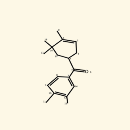 CC1=CCC(C(=O)c2ccc(C)c(C)c2)CC1(C)C